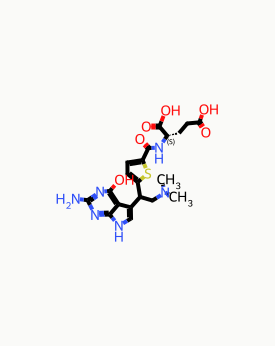 CN(C)CC(c1ccc(C(=O)N[C@@H](CCC(=O)O)C(=O)O)s1)c1c[nH]c2nc(N)nc(O)c12